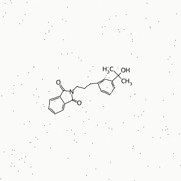 CC(C)(O)c1cccc(CCCN2C(=O)c3ccccc3C2=O)c1